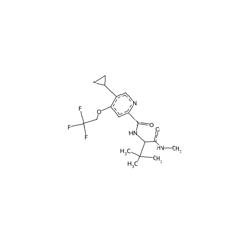 CNC(=O)C(NC(=O)c1cc(OCC(F)(F)F)c(C2CC2)cn1)C(C)(C)C